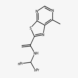 C=C(NC(CCC)CCC)c1nc2c(C)ncnc2s1